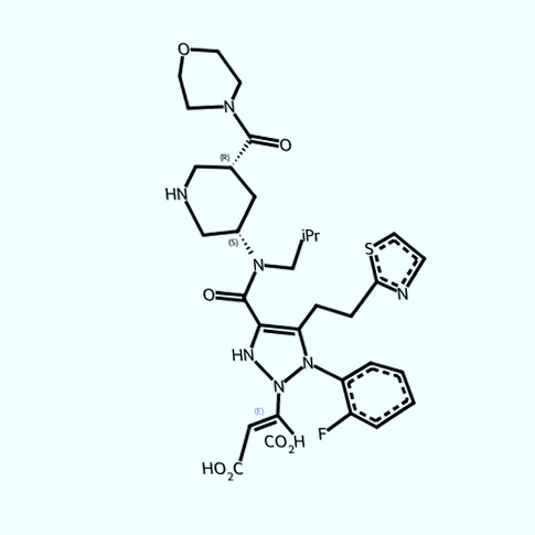 CC(C)CN(C(=O)C1=C(CCc2nccs2)N(c2ccccc2F)N(/C(=C/C(=O)O)C(=O)O)N1)[C@@H]1CNC[C@H](C(=O)N2CCOCC2)C1